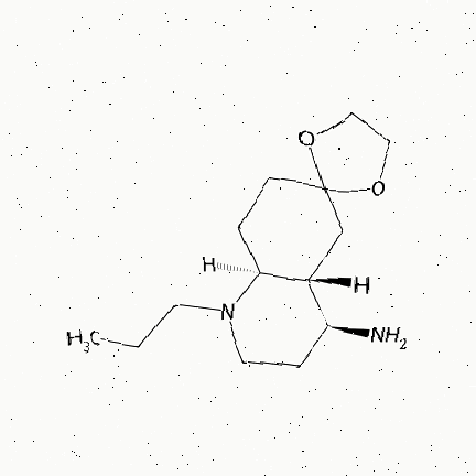 CCCN1CC[C@H](N)[C@H]2CC3(CC[C@@H]21)OCCO3